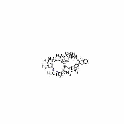 C=C1CC[C@H](C)C(C[C@H]2CC(N(C)C)C(C)[C@@H](C)C2)[C@@H](CCN(C)Cc2cn(-c3cnc4ccccc4c3)nn2)C[C@@H](C)C(=C)/C=C/C(C)=C/[C@H](CN)[C@@H](CC)C1